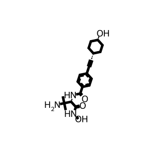 CC(C)(N)[C@H](NC(=O)c1ccc(C#C[C@H]2CC[C@@H](O)CC2)cc1)C(=O)NO